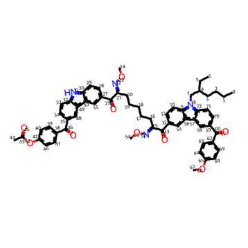 CCCCC(CC)Cn1c2ccc(C(=O)/C(CCCCC/C(=N\OC)C(=O)c3ccc4[nH]c5ccc(C(=O)c6ccc(OC(C)=O)cc6)cc5c4c3)=N/OC)cc2c2cc(C(=O)c3ccc(OC)cc3)ccc21